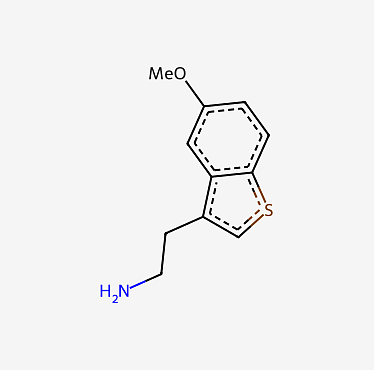 COc1ccc2scc(CCN)c2c1